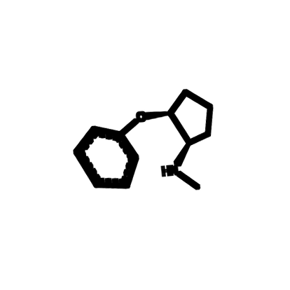 CN[C@@H]1CCC[C@@H]1Oc1ccccc1